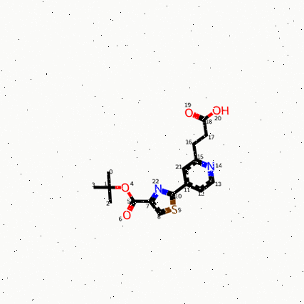 CC(C)(C)OC(=O)c1csc(-c2ccnc(CCC(=O)O)c2)n1